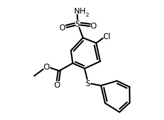 COC(=O)c1cc(S(N)(=O)=O)c(Cl)cc1Sc1ccccc1